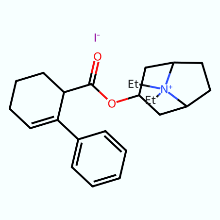 CC[N+]1(CC)C2CCC1CC(OC(=O)C1CCCC=C1c1ccccc1)C2.[I-]